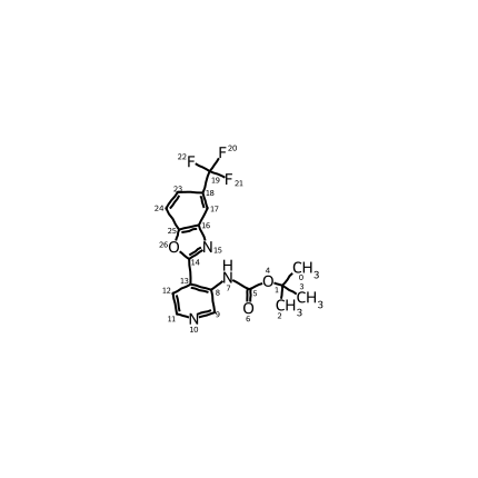 CC(C)(C)OC(=O)Nc1cnccc1-c1nc2cc(C(F)(F)F)ccc2o1